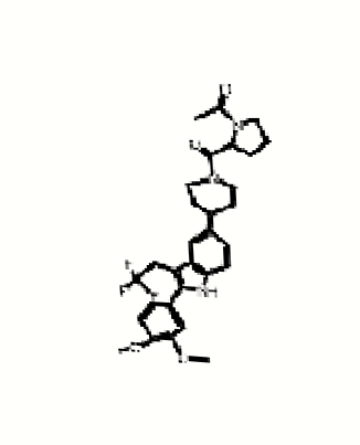 COc1ccc(-c2[nH]c3ccc(C4CCN(C(=O)C5CCCN5C(C)=O)CC4)cc3c2CC(F)(F)F)cc1OC